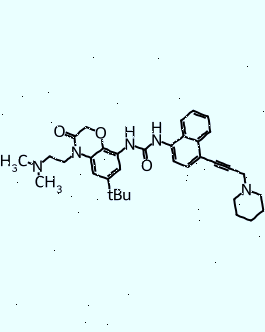 CN(C)CCN1C(=O)COc2c(NC(=O)Nc3ccc(C#CCN4CCCCC4)c4ccccc34)cc(C(C)(C)C)cc21